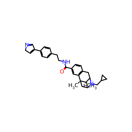 C[C@H]1C2Cc3ccc(C(=O)NCCc4ccc(C5=CCN=C5)cc4)cc3[C@@]1(C)CCN2CC1CC1